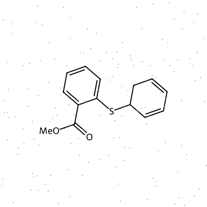 COC(=O)c1ccccc1SC1C=CC=CC1